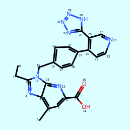 CCc1nc2c(C)cc(C(=O)O)nc2n1Cc1ccc(-c2ccncc2-c2nnn[nH]2)cc1